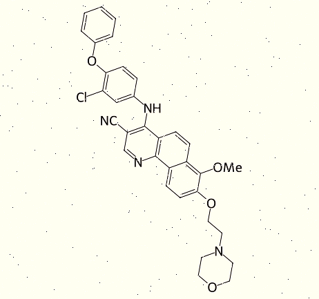 COc1c(OCCN2CCOCC2)ccc2c1ccc1c(Nc3ccc(Oc4ccccc4)c(Cl)c3)c(C#N)cnc12